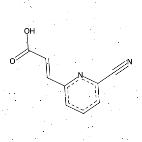 N#Cc1cccc(C=CC(=O)O)n1